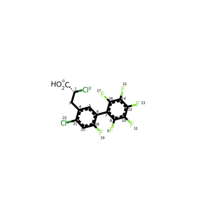 O=C(O)[C@H](Cl)Cc1cc(-c2c(F)c(F)c(F)c(F)c2F)c(F)cc1Cl